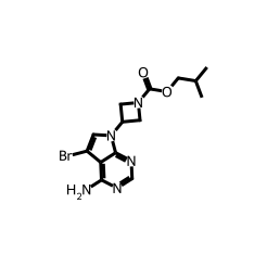 CC(C)COC(=O)N1CC(n2cc(Br)c3c(N)ncnc32)C1